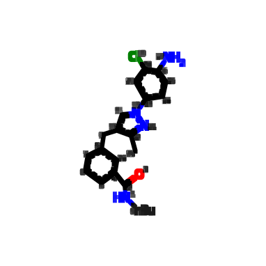 CCCCNC(=O)c1cccc(Cc2cn(-c3ccc(N)c(Cl)c3)nc2C)c1